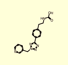 O=C(O)NCCc1ccc(-c2nnn(Cc3cccnc3)n2)cc1